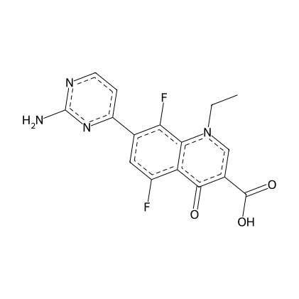 CCn1cc(C(=O)O)c(=O)c2c(F)cc(-c3ccnc(N)n3)c(F)c21